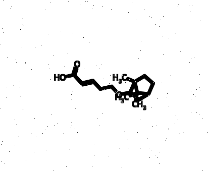 CC1(C)C2CCC1(C)C(OCCC=CC(=O)O)C2